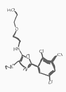 N#Cc1nc(-c2cc(Cl)cc(Cl)c2Cl)oc1NCCOCCO